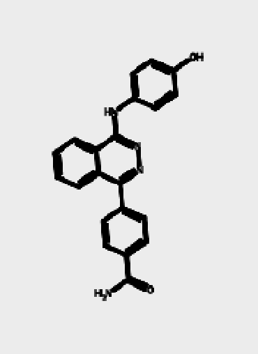 NC(=O)c1ccc(-c2nnc(Nc3ccc(O)cc3)c3ccccc23)cc1